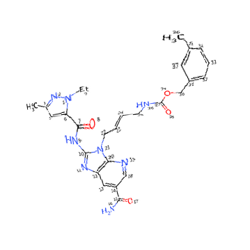 CCn1nc(C)cc1C(=O)Nc1nc2cc(C(N)=O)cnc2n1C/C=C/CNC(=O)OCc1cccc(C)c1